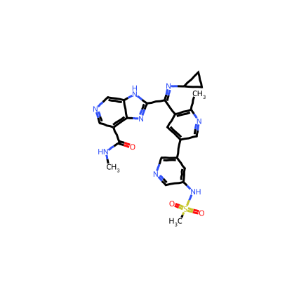 CNC(=O)c1cncc2[nH]c(/C(=N/C3CC3)c3cc(-c4cncc(NS(C)(=O)=O)c4)cnc3C)nc12